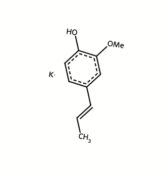 CC=Cc1ccc(O)c(OC)c1.[K]